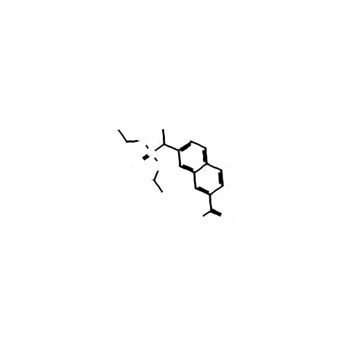 CCOP(=O)(OCC)C(C)c1ccc2ccc(C(=O)O)cc2c1